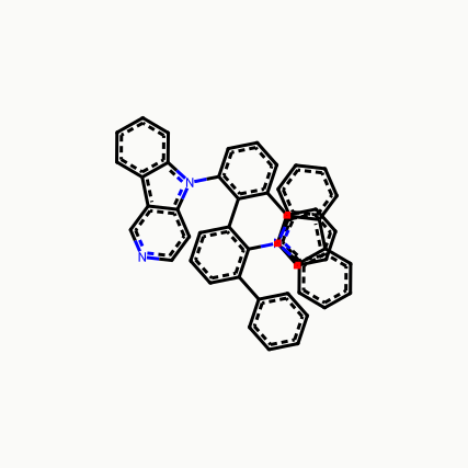 c1ccc(-c2cccc(-n3c4ccccc4c4cnccc43)c2-c2cccc(-c3ccccc3)c2-n2c3ccccc3c3ccccc32)cc1